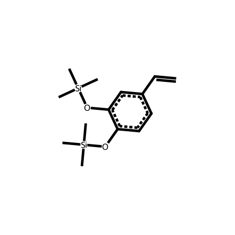 C=Cc1ccc(O[Si](C)(C)C)c(O[Si](C)(C)C)c1